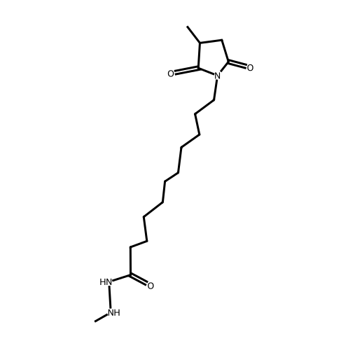 CNNC(=O)CCCCCCCCCCN1C(=O)CC(C)C1=O